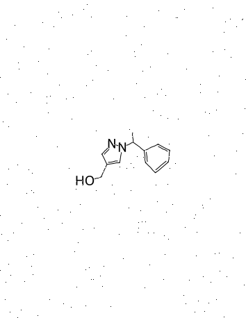 CC(c1ccccc1)n1cc(CO)cn1